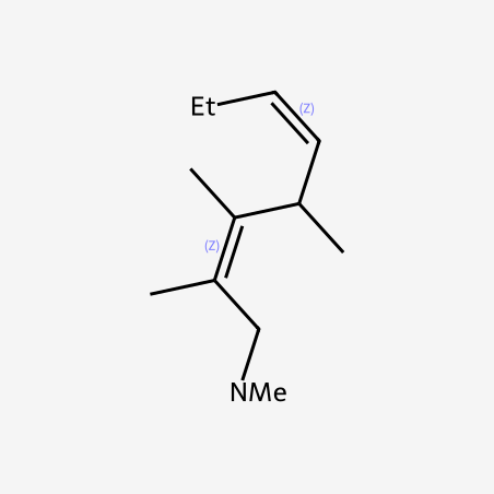 CC/C=C\C(C)/C(C)=C(/C)CNC